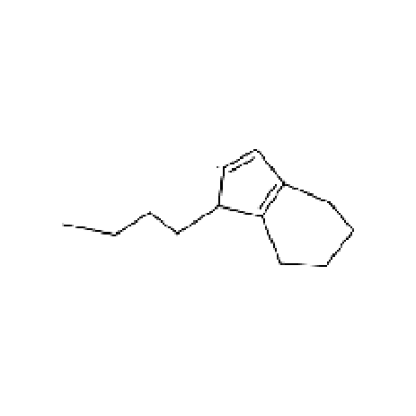 CCCCC1[C]=CC2=C1CCCC2